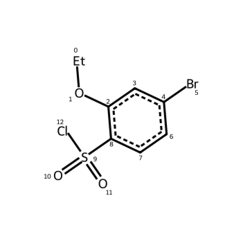 CCOc1cc(Br)ccc1S(=O)(=O)Cl